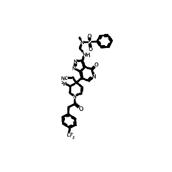 [2H]C1CN(C(=O)Cc2ccc(C(F)(F)F)cc2)CCC1(CC#N)C1=C2N=NC(NCN(C)S(=O)(=O)c3ccccc3)=C2C(=O)N=C1